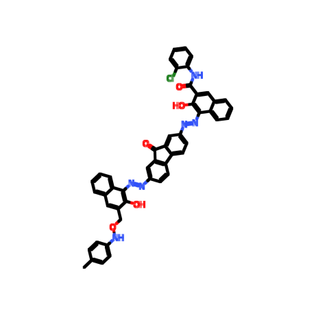 Cc1ccc(NOCc2cc3ccccc3c(N=Nc3ccc4c(c3)C(=O)c3cc(N=Nc5c(O)c(C(=O)Nc6ccccc6Cl)cc6ccccc56)ccc3-4)c2O)cc1